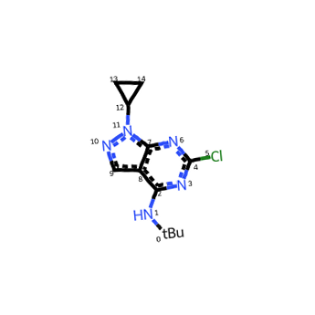 CC(C)(C)Nc1nc(Cl)nc2c1cnn2C1CC1